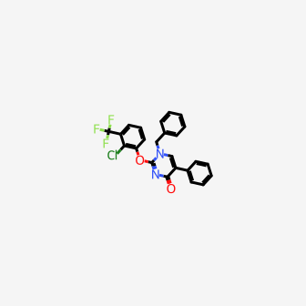 O=c1nc(Oc2cccc(C(F)(F)F)c2Cl)n(Cc2ccccc2)cc1-c1ccccc1